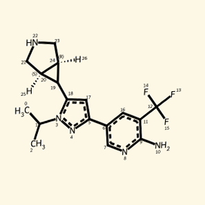 CC(C)n1nc(-c2cnc(N)c(C(F)(F)F)c2)cc1C1[C@H]2CNC[C@@H]12